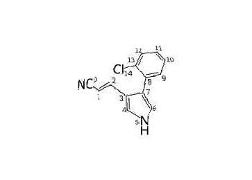 N#C/C=C/c1c[nH]cc1-c1ccccc1Cl